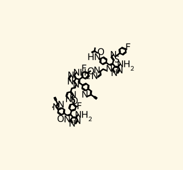 C#Cc1cnc2cc(-c3c(-c4ccc(Oc5nccc(CCn6c(-c7ccc(NC(=O)C(=C)C)cc7)c(-c7cnc(-c8ccc(F)cc8)s7)c7c(N)ncnc76)n5)c(F)c4)c4c(N)ncnc4n3CCc3ccnc(Oc4ccc(-c5c(-c6cc7nc(C#C)n(C)c7cc6OC)n(C)c6ncnc(N)c56)cc4F)n3)ccc2c1